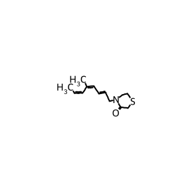 C\C=C/C(C)=C\C=C\CN1CCSCC1=O